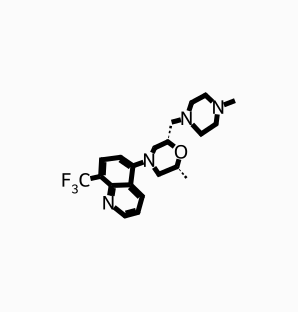 C[C@@H]1CN(c2ccc(C(F)(F)F)c3ncccc23)C[C@H](CN2CCN(C)CC2)O1